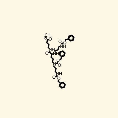 COC(=O)CCCNC(=O)C(CCCN(CCCNC(=O)OCc1ccccc1)C(=O)OCc1ccccc1)NCCCNC(=O)OCc1ccccc1